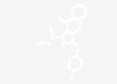 COC(=O)c1[nH]c(Cc2ccc(O)cc2)c2oc3ccccc3c(=O)c12